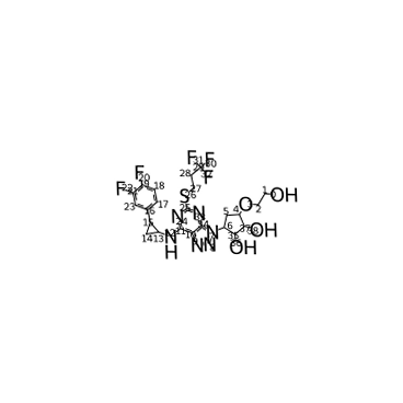 OCCOC1CC(n2nnc3c(NC4CC4c4ccc(F)c(F)c4)nc(SCCC(F)(F)F)nc32)C(O)C1O